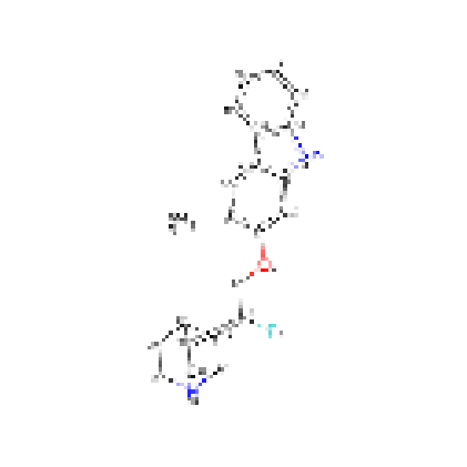 B.FC(COc1ccc2c(c1)[nH]c1ccccc12)=C1CN2CCC1CC2